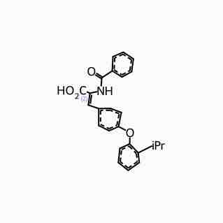 CC(C)c1ccccc1Oc1ccc(/C=C(\NC(=O)c2ccccc2)C(=O)O)cc1